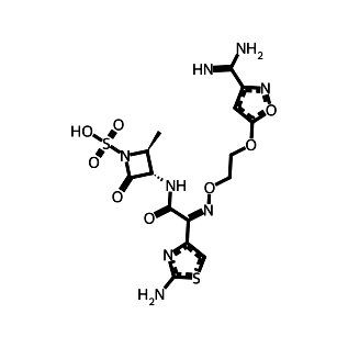 C[C@H]1[C@H](NC(=O)C(=NOCCOc2cc(C(=N)N)no2)c2csc(N)n2)C(=O)N1S(=O)(=O)O